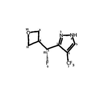 F[C@@H](c1n[nH]cc1C(F)(F)F)C1COC1